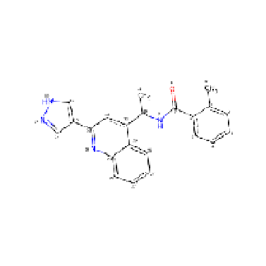 Cc1ccccc1C(=O)NC(C)c1cc(-c2cn[nH]c2)nc2ccccc12